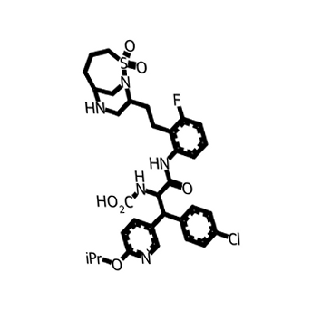 CC(C)Oc1ccc(C(c2ccc(Cl)cc2)C(NC(=O)O)C(=O)Nc2cccc(F)c2CCC2CNC3CCCS(=O)(=O)N2C3)cn1